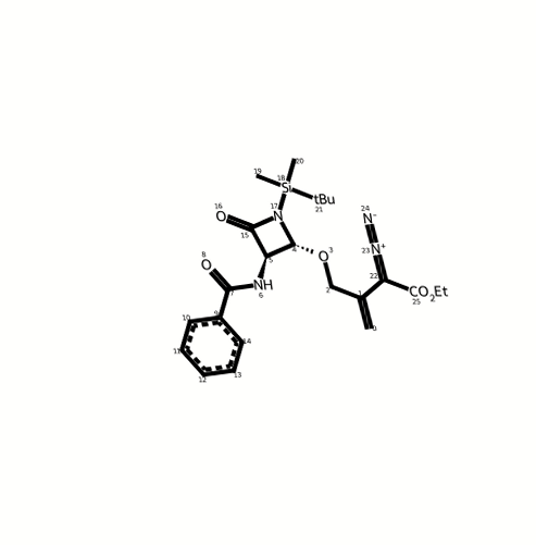 C=C(CO[C@@H]1[C@@H](NC(=O)c2ccccc2)C(=O)N1[Si](C)(C)C(C)(C)C)C(=[N+]=[N-])C(=O)OCC